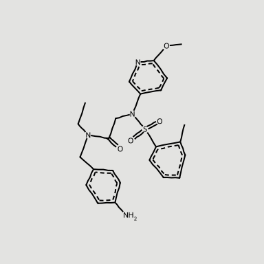 CCN(Cc1ccc(N)cc1)C(=O)CN(c1ccc(OC)nc1)S(=O)(=O)c1ccccc1C